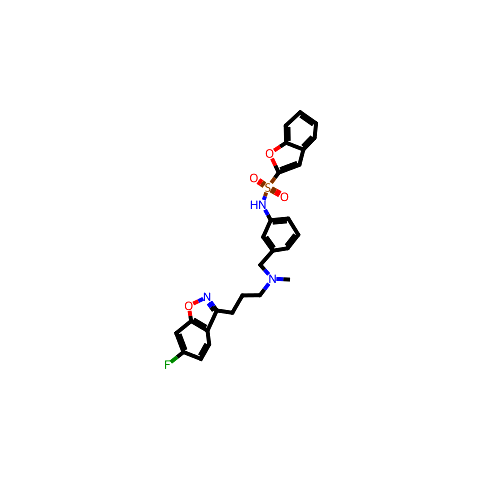 CN(CCCc1noc2cc(F)ccc12)Cc1cccc(NS(=O)(=O)c2cc3ccccc3o2)c1